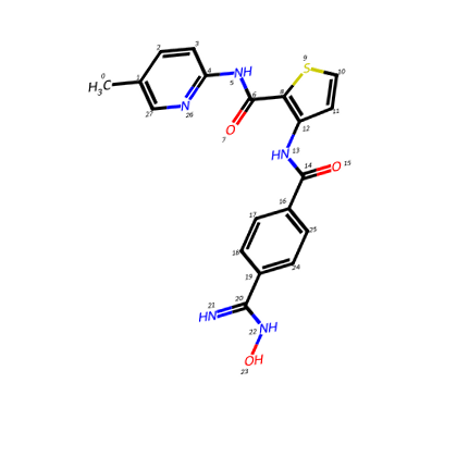 Cc1ccc(NC(=O)c2sccc2NC(=O)c2ccc(C(=N)NO)cc2)nc1